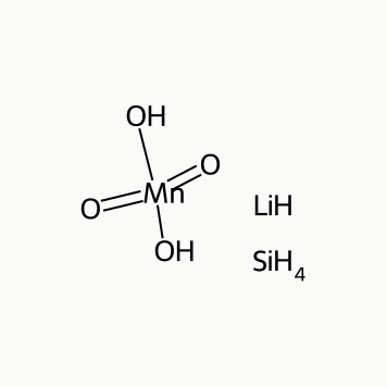 [LiH].[O]=[Mn](=[O])([OH])[OH].[SiH4]